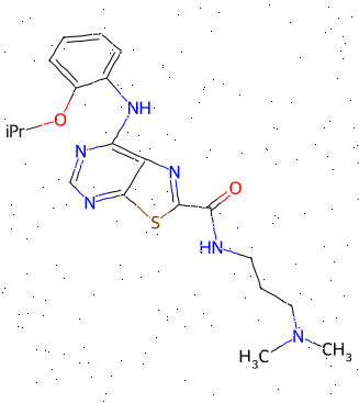 CC(C)Oc1ccccc1Nc1ncnc2sc(C(=O)NCCCN(C)C)nc12